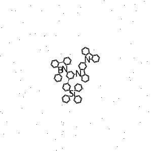 c1ccc(B2c3ccccc3-c3ccccc3N2c2cc(-c3cccc([Si](c4ccccc4)(c4ccccc4)c4ccccc4)c3)cc(-n3c4ccccc4c4cc(-n5c6ccccc6c6ccccc65)ccc43)c2)cc1